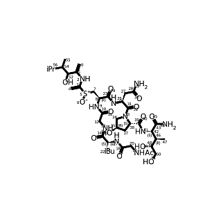 C=C(NC(=C)[S+]([O-])C[C@H](NC(=O)CNC(=O)[C@@H](NC(=O)CNC(C)=O)[C@@H](C)CC)C(=O)N[C@@H](CC(N)=O)C(=O)N1C[C@H](O)C[C@H]1C(=O)N[C@H](C(N)=O)[C@@H](C)[C@@H](O)CO)C(O)C(C)C(C)C